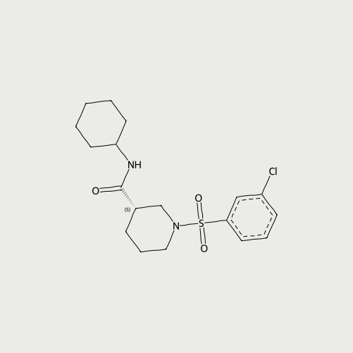 O=C(NC1CCCCC1)[C@H]1CCCN(S(=O)(=O)c2cccc(Cl)c2)C1